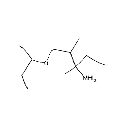 CCC(C)OCC(C)C(C)(N)CC